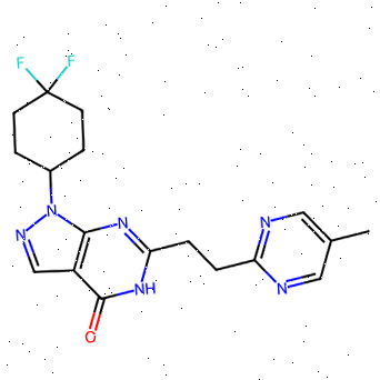 Cc1cnc(CCc2nc3c(cnn3C3CCC(F)(F)CC3)c(=O)[nH]2)nc1